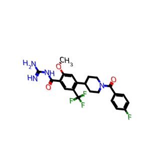 COc1cc(C2CCN(C(=O)c3ccc(F)cc3)CC2)c(C(F)(F)F)cc1C(=O)NC(=N)N